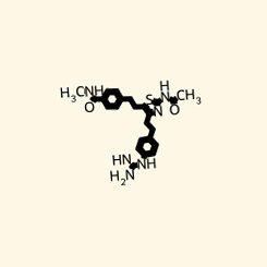 CNC(=O)c1ccc(CCc2sc(NC(C)=O)nc2CCc2ccc(NC(=N)N)cc2)cc1